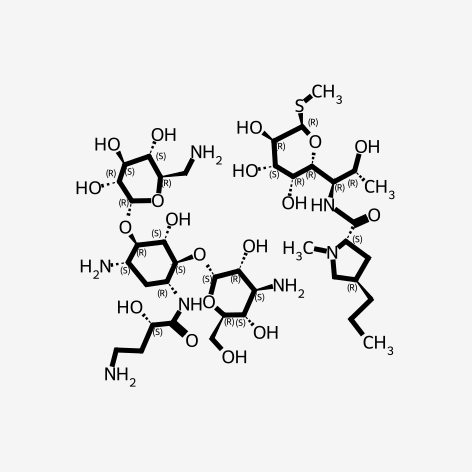 CCC[C@@H]1C[C@@H](C(=O)N[C@@H]([C@H]2O[C@H](SC)[C@H](O)[C@@H](O)[C@H]2O)[C@@H](C)O)N(C)C1.NCC[C@H](O)C(=O)N[C@@H]1C[C@H](N)[C@@H](O[C@H]2O[C@H](CN)[C@@H](O)[C@H](O)[C@H]2O)[C@H](O)[C@H]1O[C@H]1O[C@H](CO)[C@@H](O)[C@H](N)[C@H]1O